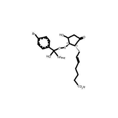 CCCCCC(O)(CS[C@H]1C(O)CC(=O)[C@@H]1CC=CCCCC(=O)O)c1ccc(Br)cc1